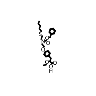 CCCCCSCCN(CCOc1ccc(CC(OCC)C(=O)O)cc1)C(=O)OCc1ccccc1